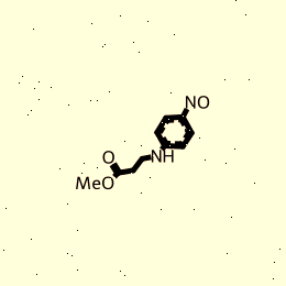 COC(=O)CCNc1ccc(N=O)cc1